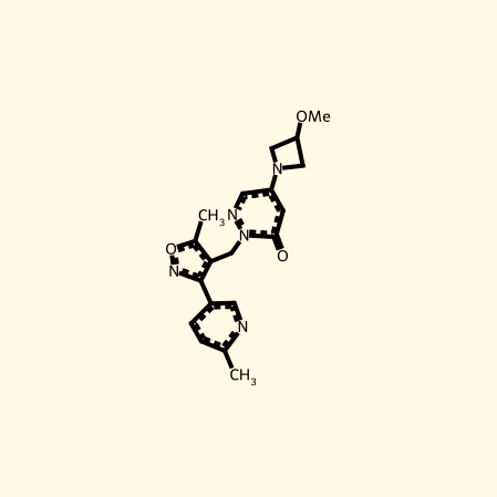 COC1CN(c2cnn(Cc3c(-c4ccc(C)nc4)noc3C)c(=O)c2)C1